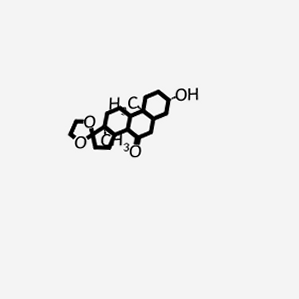 C[C@]12CC[C@H](O)CC1CC(=O)C1C2CC[C@@]2(C)C1CCC21OCCO1